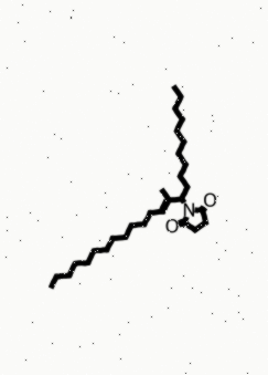 CCCCCCCCCCCCC=C(C)C(CCCCCCCCCC)N1C(=O)CCC1=O